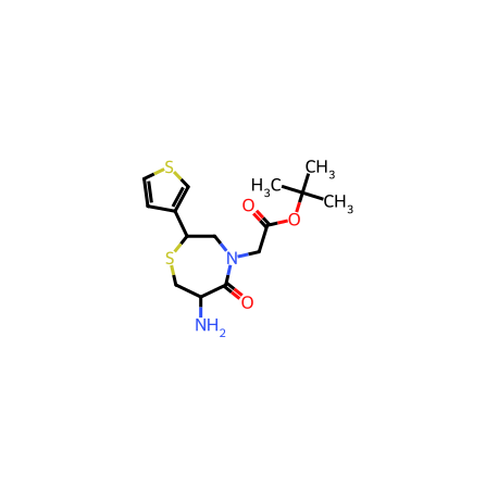 CC(C)(C)OC(=O)CN1CC(c2ccsc2)SCC(N)C1=O